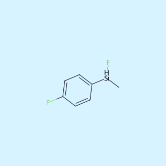 C[SiH](F)c1ccc(F)cc1